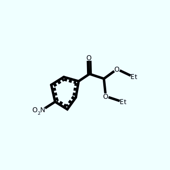 CCOC(OCC)C(=O)c1ccc([N+](=O)[O-])cc1